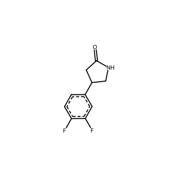 O=C1CC(c2ccc(F)c(F)c2)CN1